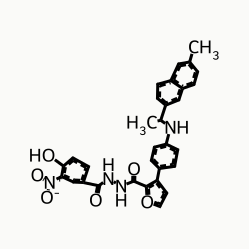 Cc1ccc2cc(C(C)Nc3ccc(-c4ccoc4C(=O)NNC(=O)c4ccc(O)c([N+](=O)[O-])c4)cc3)ccc2c1